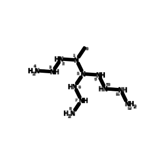 CN(NNN)N(NNN)NNNN